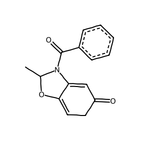 CC1OC2=CCC(=O)C=C2N1C(=O)c1ccccc1